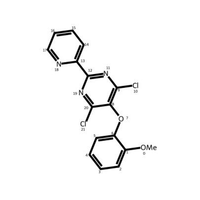 COc1ccccc1Oc1c(Cl)nc(-c2ccccn2)nc1Cl